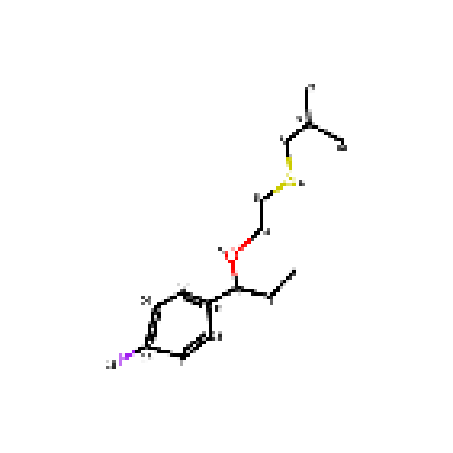 CCC(OCCSCC(C)C)c1ccc(I)cc1